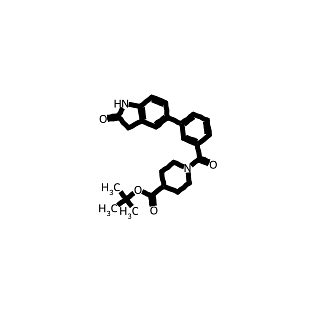 CC(C)(C)OC(=O)C1CCN(C(=O)c2cccc(-c3ccc4c(c3)CC(=O)N4)c2)CC1